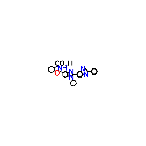 O=C(NC(C(=O)O)C1CCCCC1)c1ccc2c(c1)nc(-c1ccc3nc(-c4ccccc4)cnc3c1)n2C1CCCCC1